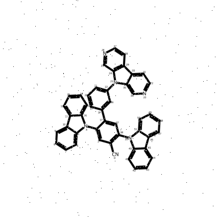 N#Cc1cc(-n2c3ccccc3c3ccccc32)c(-c2cccc(-n3c4cnccc4c4ccncc43)c2)cc1-n1c2ccccc2c2ccccc21